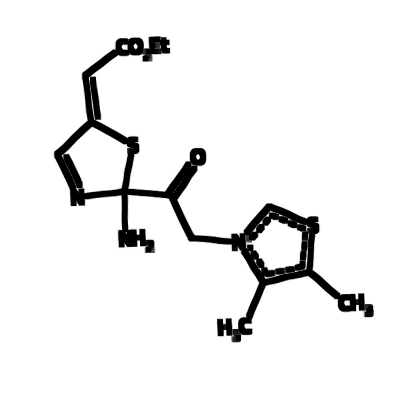 CCOC(=O)C=C1C=NC(N)(C(=O)C[n+]2csc(C)c2C)S1